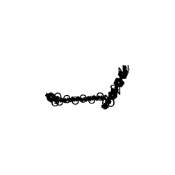 Cc1ccc(S(=O)(=O)OCCOCCOCCOCCOCCOCCN(C(=O)OC(C)(C)C)c2ccc3nc(-c4ccc(-c5ccc(N(C)C)nc5)cc4)sc3c2)cc1